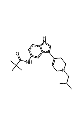 CC(C)CN1CC=C(c2c[nH]c3ccc(NC(=O)C(C)(C)C)cc23)CC1